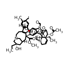 CC[C@]1(O)C[C@H]2CN(CCC3=C(Bc4cc(I)c(C)cc43)[C@@](C(=O)OC)(C3C=C4C(=CC3OC)N(C=O)[C@@]35O[C@]3(C(=O)OC)[C@H](OC(C)=O)[C@]3(CC)C=CCN6CC[C@]45[C@@H]63)C2)C1